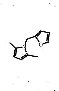 Cc1ccc(C)n1Cc1ccco1